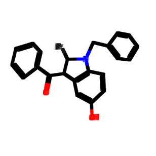 CC(C)C1C(C(=O)c2ccccc2)c2cc(O)ccc2N1Cc1ccccc1